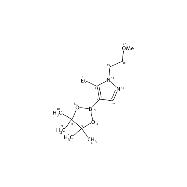 CCc1c(B2OC(C)(C)C(C)(C)O2)cnn1CCOC